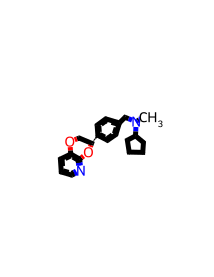 CN(Cc1ccc([C@H]2COc3cccnc3O2)cc1)C1CCCC1